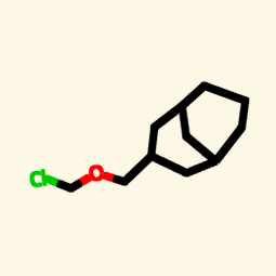 ClCOCC1CC2CCCC(C2)C1